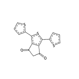 O=C1CC(=O)c2c(-c3cccs3)sc(-c3cccs3)c21